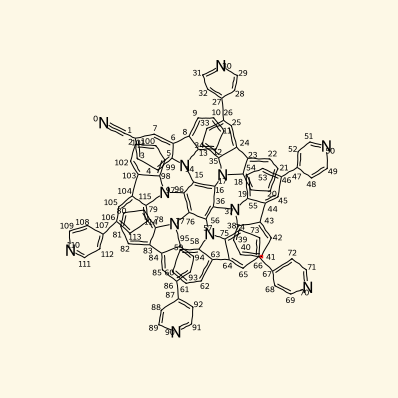 N#Cc1ccc2c(c1)c1ccccc1n2-c1c(-n2c3ccccc3c3cc(-c4ccncc4)ccc32)c(-n2c3ccccc3c3cc(-c4ccncc4)ccc32)c(-n2c3ccccc3c3cc(-c4ccncc4)ccc32)c(-n2c3ccccc3c3cc(-c4ccncc4)ccc32)c1-n1c2ccccc2c2cc(-c3ccncc3)ccc21